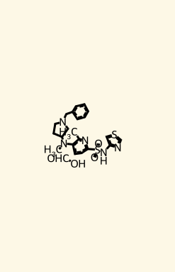 Cc1nc(S(=O)(=O)Nc2cscn2)ccc1N(C)C1CCN(Cc2ccccc2)C1.O=CO